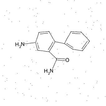 NC(=O)c1[c]c(N)ccc1-c1ccccc1